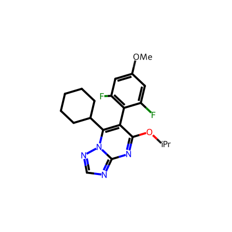 COc1cc(F)c(-c2c(OC(C)C)nc3ncnn3c2C2CCCCC2)c(F)c1